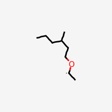 C[CH]OCCC(C)CCC